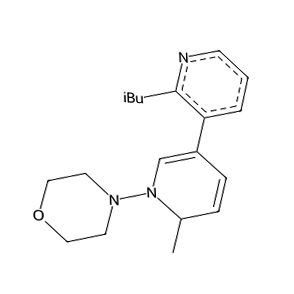 CCC(C)c1ncccc1C1=CN(N2CCOCC2)C(C)C=C1